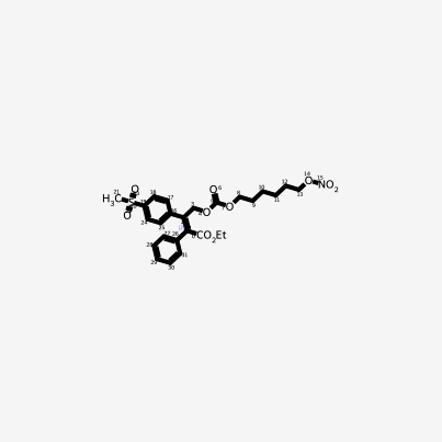 CCOC(=O)/C(=C(\COC(=O)OCCCCCCO[N+](=O)[O-])c1ccc(S(C)(=O)=O)cc1)c1ccccc1